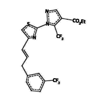 CCOC(=O)c1cnn(-c2nc(C=CCc3cccc(C(F)(F)F)c3)cs2)c1C(F)(F)F